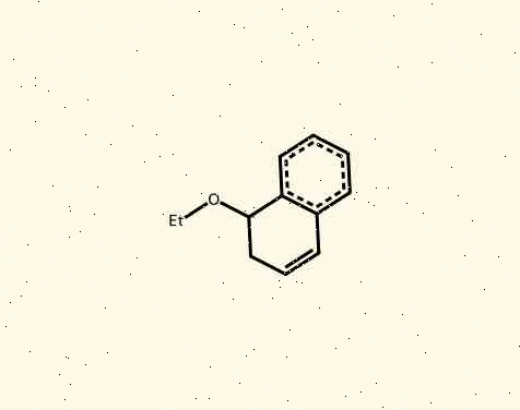 CCO[C]1CC=Cc2ccccc21